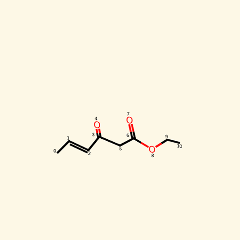 C/C=C/C(=O)CC(=O)OCC